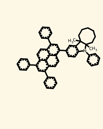 CC12CCCCCCC1(C)N(c1ccccc1)c1ccc(-c3cc(-c4ccccc4)c4ccc5c(-c6ccccc6)cc(-c6ccccc6)c6ccc3c4c56)cc12